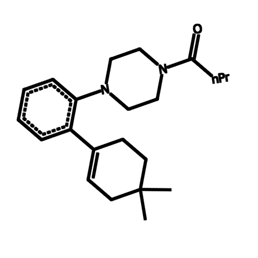 CCCC(=O)N1CCN(c2ccccc2C2=CCC(C)(C)CC2)CC1